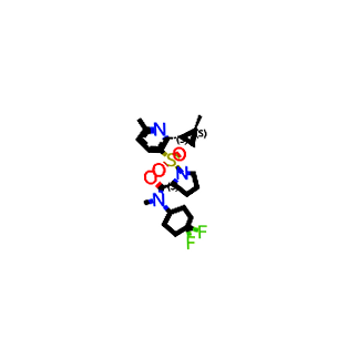 Cc1ccc(S(=O)(=O)N2CCC[C@H]2C(=O)N(C)C2CCC(F)(F)CC2)c([C@H]2C[C@@H]2C)n1